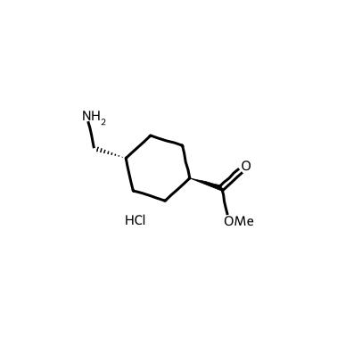 COC(=O)[C@H]1CC[C@H](CN)CC1.Cl